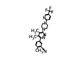 Cc1ccc(-c2nnc(N3CCN(c4ccc(C(F)(F)F)cn4)CC3)c(C)c2C)cc1C#N